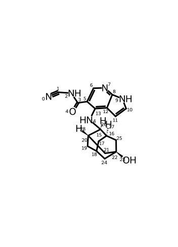 N#CNC(=O)c1cnc2[nH]ccc2c1N[C@H]1[C@@H]2CC3C[C@H]1C[C@@](O)(C3)C2